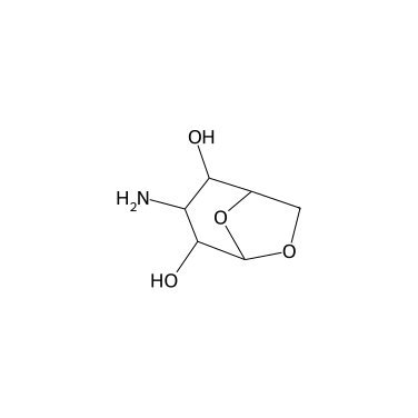 NC1C(O)C2COC(O2)C1O